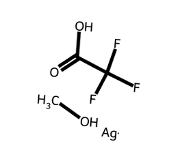 CO.O=C(O)C(F)(F)F.[Ag]